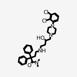 CN(C)C(=O)C(CCNCCC(O)CN1CCN(c2cccc(Cl)c2Cl)CC1)(c1ccccc1)c1ccccc1